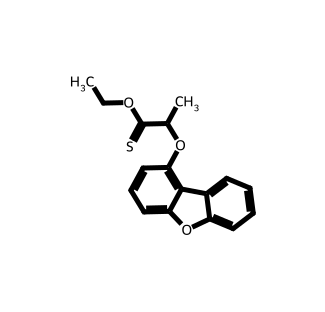 CCOC(=S)C(C)Oc1cccc2oc3ccccc3c12